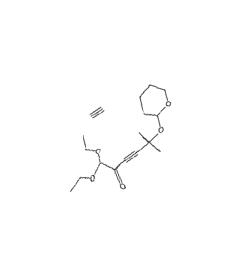 C#C.CCOC(OCC)C(=O)C#CC(C)(C)OC1CCCCO1